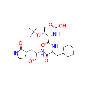 C[C@H](OC(C)(C)C)[C@H](NC(=O)O)C(=O)NC(CC1CCCCC1)C(=O)NC(C=O)CC1CCNC1=O